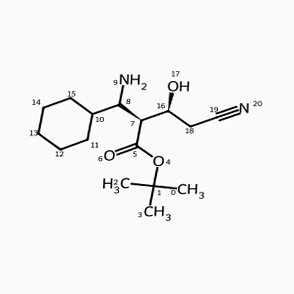 CC(C)(C)OC(=O)[C@@H](C(N)C1CCCCC1)[C@@H](O)CC#N